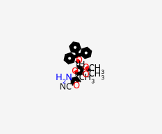 CC1(C)O[C@@H]2[C@@H](COC(c3ccccc3)(c3ccccc3)c3ccccc3)O[C@@H](c3coc(C#N)c3N)[C@]2(C)O1